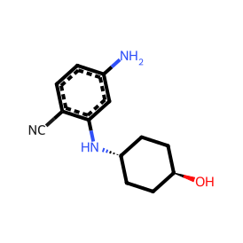 N#Cc1ccc(N)cc1N[C@H]1CC[C@H](O)CC1